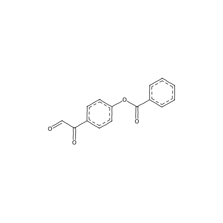 O=CC(=O)c1ccc(OC(=O)c2ccccc2)cc1